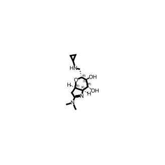 CN(C)C1=N[C@@H]2[C@@H](O)[C@H](O)[C@@H](CNC3CC3)O[C@@H]2C1